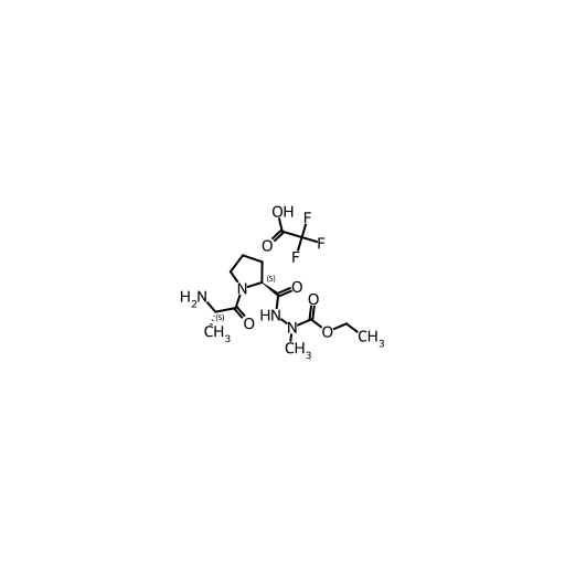 CCOC(=O)N(C)NC(=O)[C@@H]1CCCN1C(=O)[C@H](C)N.O=C(O)C(F)(F)F